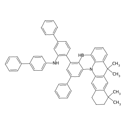 CC1(C)CCCc2cc3c(cc21)C(C)(C)c1cccc2c1N3c1cc(-c3ccccc3)cc(-c3ccc(-c4ccccc4)cc3Nc3ccc(-c4ccccc4)cc3)c1B2